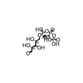 O=C[C@H](O)[C@H](O)[C@H](O)COP(=O)(O)OP(=O)(O)OP(=O)(O)O